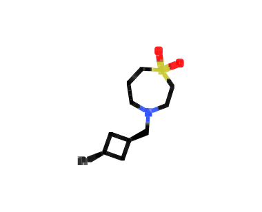 CC(C)[C@H]1C[C@@H](CN2CCCS(=O)(=O)CC2)C1